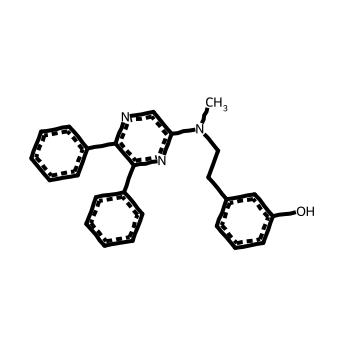 CN(CCc1cccc(O)c1)c1cnc(-c2ccccc2)c(-c2ccccc2)n1